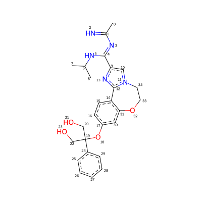 CC(=N)/N=C(\NC(C)C)c1cn2c(n1)-c1ccc(OC(CO)(CO)c3ccccc3)cc1OCC2